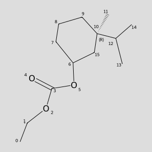 C[CH]OC(=O)OC1CCC[C@@](C)(C(C)C)C1